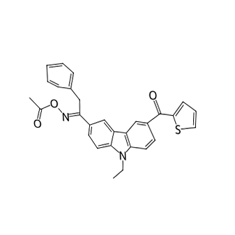 CCn1c2ccc(C(=O)c3cccs3)cc2c2cc(/C(Cc3ccccc3)=N/OC(C)=O)ccc21